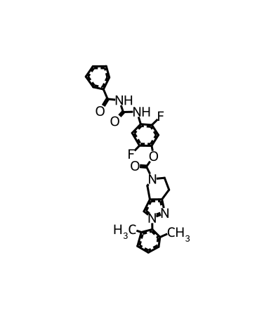 Cc1cccc(C)c1-n1cc2c(n1)CCN(C(=O)Oc1cc(F)c(NC(=O)NC(=O)c3ccccc3)cc1F)C2